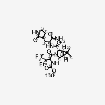 CCC(C(NC(=O)OC(C)(C)C)C(=O)N1C[C@H]2[C@@H]([C@H]1C(=O)N[C@@H](C[C@@H]1CCNC1=O)C(N)=O)C2(C)C)C(F)(F)F